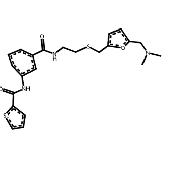 CN(C)Cc1ccc(CSCCNC(=O)c2cccc(NC(=O)c3cccs3)c2)o1